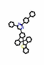 c1ccc(-c2ccc(-c3nc(-c4ccccc4)cc(-c4ccc5c(c4)-c4ccccc4C54c5ccccc5-c5c4sc4ccccc54)n3)cc2)cc1